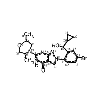 CC1CN(c2nc3nn(-c4ccc(Br)cc4C(O)C4CC4)cc3c(=O)[nH]2)C(C)CO1